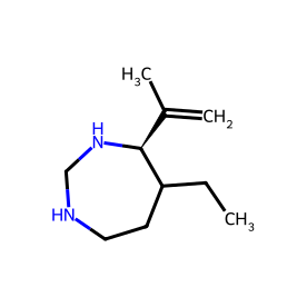 C=C(C)[C@@H]1NCNCCC1CC